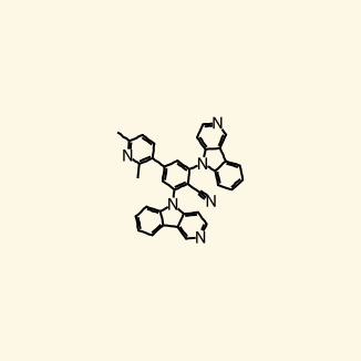 Cc1ccc(-c2cc(-n3c4ccccc4c4cnccc43)c(C#N)c(-n3c4ccccc4c4cnccc43)c2)c(C)n1